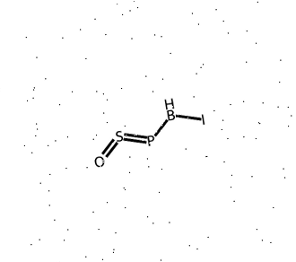 O=S=PBI